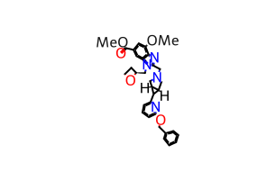 COC(=O)c1cc(OC)c2nc(CN3C[C@@H]4C(c5cccc(OCc6ccccc6)n5)[C@@H]4C3)n(C[C@@H]3CCO3)c2c1